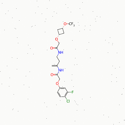 C=C(CCNC(=O)CO[C@H]1C[C@@H](OC(F)(F)F)C1)NC(=O)COc1ccc(Cl)c(F)c1